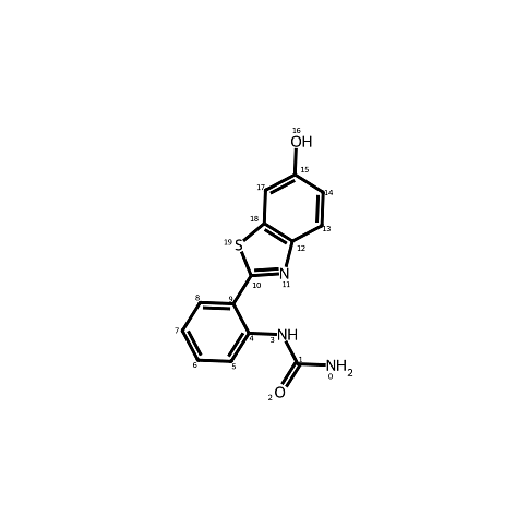 NC(=O)Nc1ccccc1-c1nc2ccc(O)cc2s1